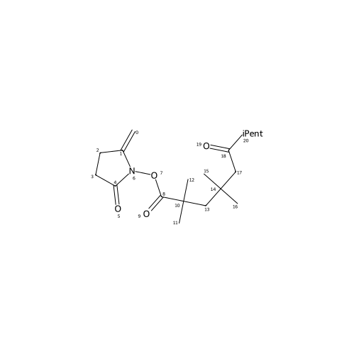 C=C1CCC(=O)N1OC(=O)C(C)(C)CC(C)(C)CC(=O)C(C)CCC